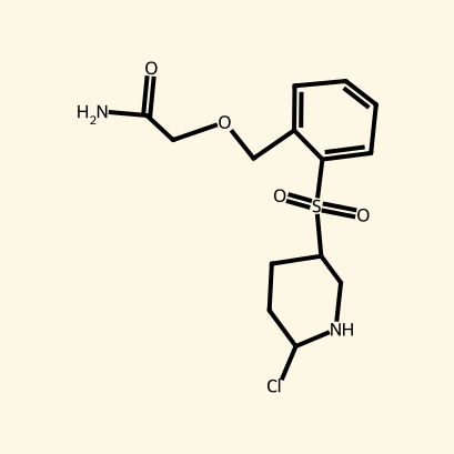 NC(=O)COCc1ccccc1S(=O)(=O)C1CCC(Cl)NC1